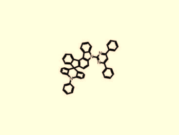 c1ccc(-c2cc(-c3ccccc3)nc(-n3c4ccccc4c4c5c(ccc43)C3(c4ccccc4-5)c4ccccc4N(c4ccccc4)c4ccccc43)n2)cc1